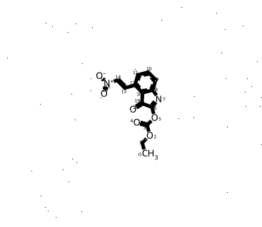 CCOC(=O)OC1=Nc2cccc(C=C[N+](=O)[O-])c2C1=O